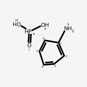 Nc1ccccc1.O=[PH](O)O